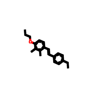 CCCOc1ccc(C=Cc2ccc(CC)cc2)c(C)c1C